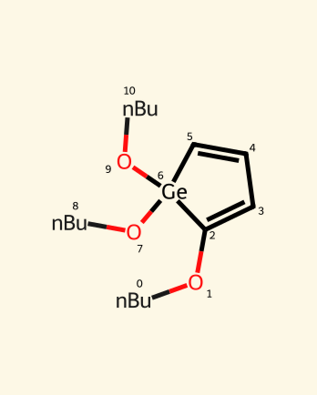 CCCCO[C]1=CC=[CH][Ge]1([O]CCCC)[O]CCCC